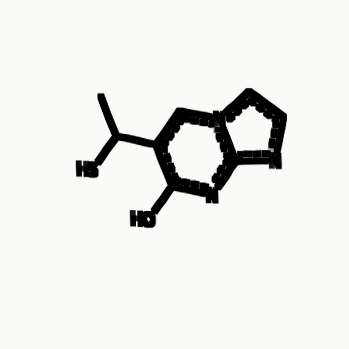 CC(S)c1cn2ccnc2nc1O